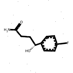 NC(=O)CC[C@@H](O)c1ccc(F)cc1